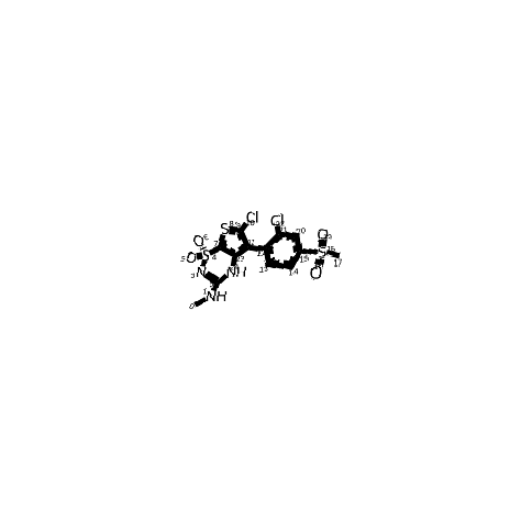 CNC1=NS(=O)(=O)c2sc(Cl)c(-c3ccc(S(C)(=O)=O)cc3Cl)c2N1